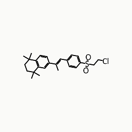 CC(=Cc1ccc(S(=O)(=O)CCCl)cc1)c1ccc2c(c1)C(C)(C)CCC2(C)C